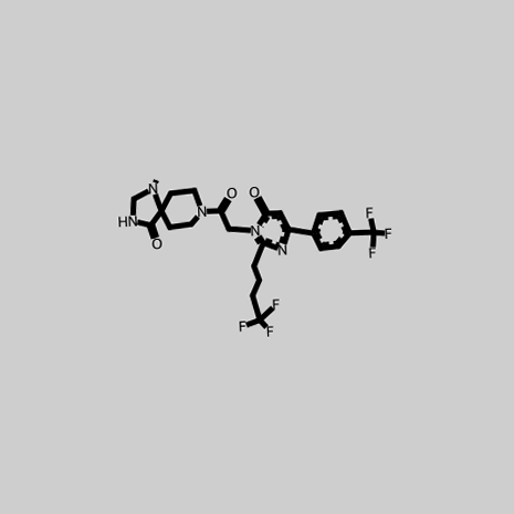 CN1CNC(=O)C12CCN(C(=O)Cn1c(CCCC(F)(F)F)nc(-c3ccc(C(F)(F)F)cc3)cc1=O)CC2